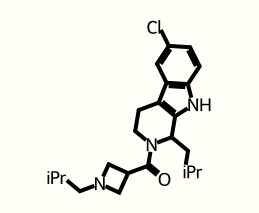 CC(C)CC1c2[nH]c3ccc(Cl)cc3c2CCN1C(=O)C1CN(CC(C)C)C1